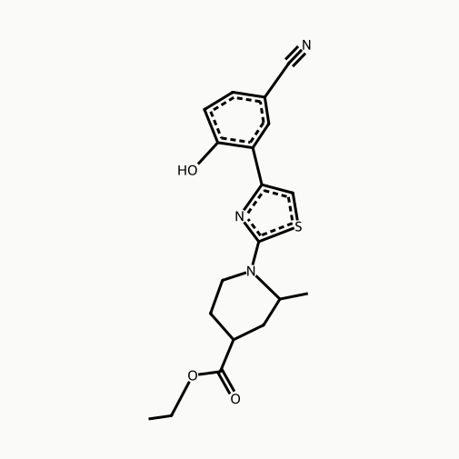 CCOC(=O)C1CCN(c2nc(-c3cc(C#N)ccc3O)cs2)C(C)C1